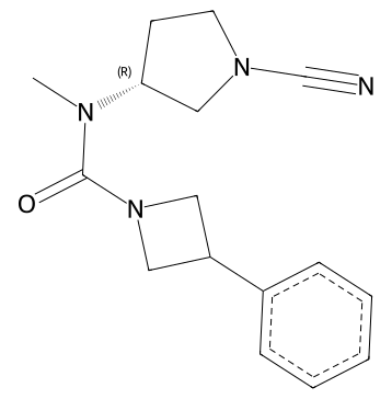 CN(C(=O)N1CC(c2ccccc2)C1)[C@@H]1CCN(C#N)C1